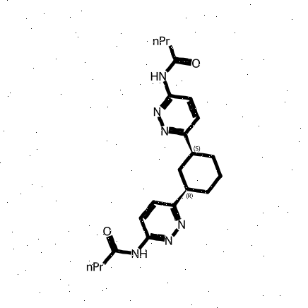 CCCC(=O)Nc1ccc([C@@H]2CCC[C@H](c3ccc(NC(=O)CCC)nn3)C2)nn1